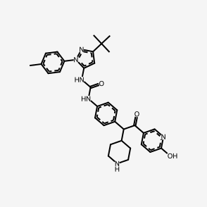 Cc1ccc(-n2nc(C(C)(C)C)cc2NC(=O)Nc2ccc(C(C(=O)c3ccc(O)nc3)C3CCNCC3)cc2)cc1